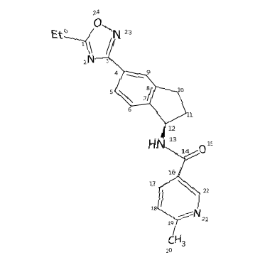 CCc1nc(-c2ccc3c(c2)CC[C@H]3NC(=O)c2ccc(C)nc2)no1